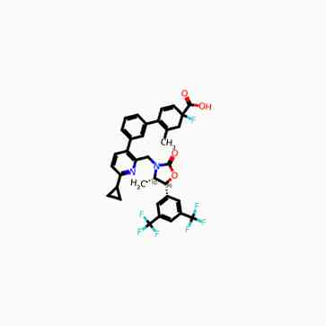 CC1=C(c2cccc(-c3ccc(C4CC4)nc3CN3C(=O)O[C@H](c4cc(C(F)(F)F)cc(C(F)(F)F)c4)[C@@H]3C)c2)C=CC(F)(C(=O)O)C1